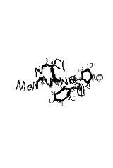 CNc1ncc(Cl)c(Nc2ccccc2S(=O)(=O)C2CCCC2)n1